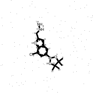 CC1(C)OB(c2cc(Cl)c3oc(CNN)cc3c2)OC1(C)C